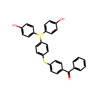 O=C(c1ccccc1)c1ccc(Sc2ccc([S+](c3ccc(O)cc3)c3ccc(O)cc3)cc2)cc1